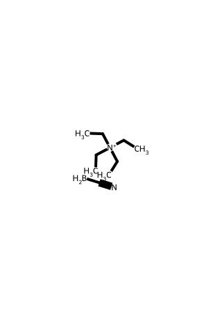 BC#N.CC[N+](CC)(CC)CC